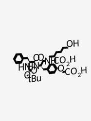 CC(C)(C)OC(=O)N[C@@H](Cc1ccccc1)C(=O)N[C@@H](Cc1ccc(OCC(=O)O)c(C(=O)O)c1)C(=O)NCCCCCCO